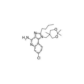 CCCCc1nc2c(N)nc3cc(Cl)ccc3c2n1CC1(C)COC(C)(C)OC1